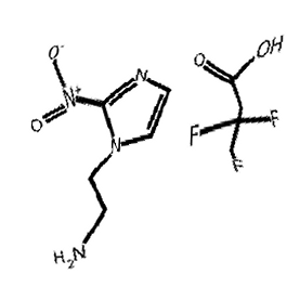 NCCn1ccnc1[N+](=O)[O-].O=C(O)C(F)(F)F